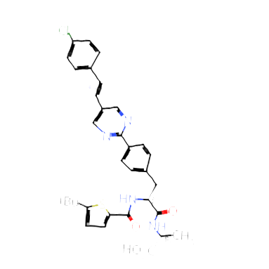 C[C@@H](NC(=O)[C@H](Cc1ccc(-c2ncc(/C=C/c3ccc(Cl)cc3)cn2)cc1)NC(=O)c1ccc(C(C)(C)C)s1)C(=O)O